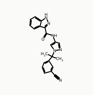 CC(C)(c1cccc(C#N)c1)n1cc(NC(=O)c2n[nH]c3ccccc23)cn1